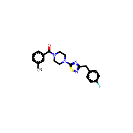 N#Cc1cccc(C(=O)N2CCN(c3nc(Cc4ccc(F)cc4)ns3)CC2)c1